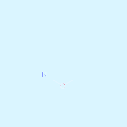 [CH]=NOC(C)C(C)(C)C